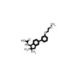 COCCOc1cccc(-c2ccc3c(c2)CC(C)(C)C3NC(=O)O)c1